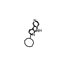 c1cc2[nH]c3nc(C4CCCCCCCC4)ccc3c2cn1